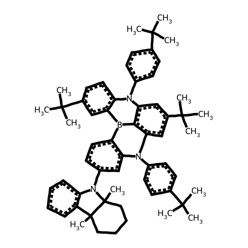 CC(C)(C)c1ccc(N2c3ccc(C(C)(C)C)cc3B3c4ccc(N5c6ccccc6C6(C)CCCCC56C)cc4N(c4ccc(C(C)(C)C)cc4)c4cc(C(C)(C)C)cc2c43)cc1